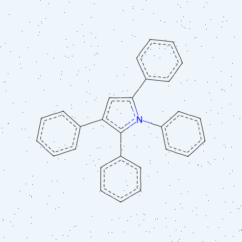 c1ccc(-c2cc(-c3ccccc3)n(-c3ccccc3)c2-c2ccccc2)cc1